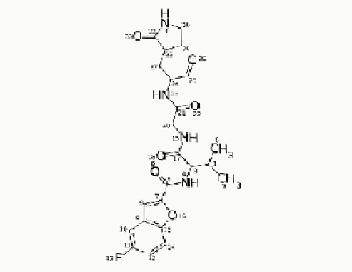 CC(C)C(NC(=O)c1cc2cc(F)ccc2o1)C(=O)NCC(=O)NC(C=O)CC1CCNC1=O